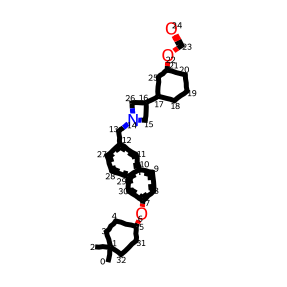 CC1(C)CCC(Oc2ccc3cc(CN4CC(C5CCCC(OC=O)C5)C4)ccc3c2)CC1